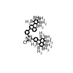 Bc1c(B)c(B)c(-c2ccc(-c3cccc(-c4nc(Cl)nc(-c5ccc(-c6c(B)c(B)c(B)c7c(B)c(B)c(B)c(B)c67)cc5)n4)c3)c3ccccc23)c(B)c1B